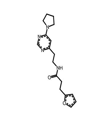 O=C(CCc1ccco1)NCCc1cc(N2CCCC2)ncn1